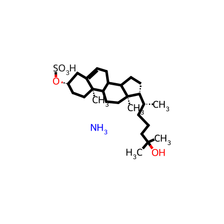 C[C@H](CCCC(C)(C)O)[C@H]1CCC2C3CC=C4C[C@@H](OS(=O)(=O)O)CC[C@]4(C)C3CC[C@@]21C.N